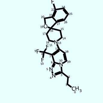 CCCc1nnc2c(C(F)(F)F)c(N3CCC4(CC3)OCc3c(F)cccc34)ccn12